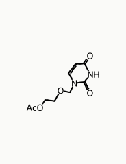 CC(=O)OCCOCn1ccc(=O)[nH]c1=O